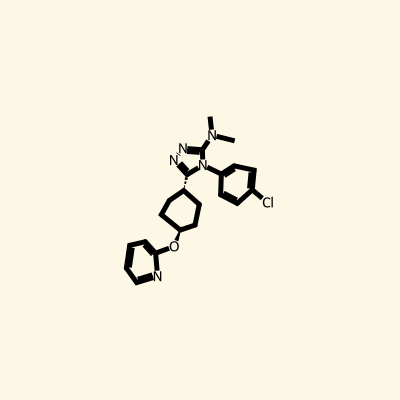 CN(C)c1nnc([C@H]2CC[C@H](Oc3ccccn3)CC2)n1-c1ccc(Cl)cc1